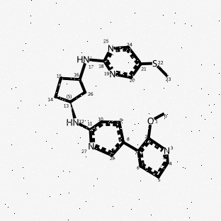 COc1ncccc1-c1ccc(N[C@H]2CCC(Nc3ncc(SC)cn3)C2)nc1